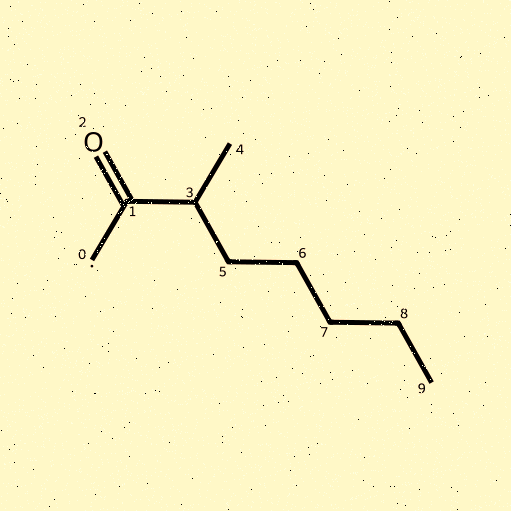 [CH2]C(=O)C(C)CCCCC